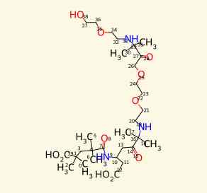 CC(C)(CC(C)(C)C(=O)NC(CC(=O)O)CC(=O)C(C)(C)NCCOCCOCC(=O)C(C)(C)NCCOCCO)C(=O)O